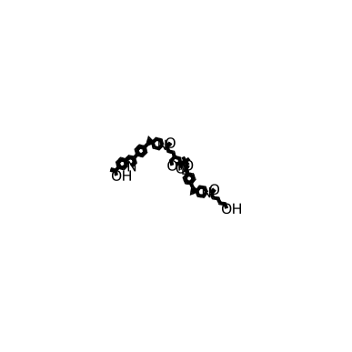 C=C(O)c1ccc2cc(-c3ccc(C4CC45CCN(C(=O)CCC(CO)CC4(C)OB(c6ccc(C7CC78CCN(C(=O)CCCCO)CC8)cc6)OC4(C)C)CC5)cc3)cnc2c1